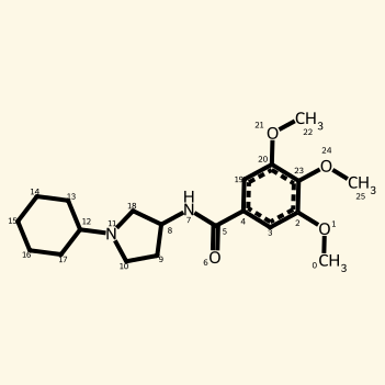 COc1cc(C(=O)NC2CCN(C3CCCCC3)C2)cc(OC)c1OC